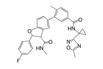 CNC(=O)C1c2cc(-c3cc(C(=O)NC4(c5noc(C)n5)CC4)ccc3C)ccc2OC1c1ccc(F)cc1